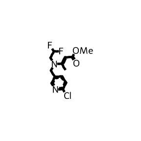 COC(=O)/C=C(\C)N(Cc1ccc(Cl)nc1)CC(F)F